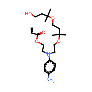 C=CC(=O)OCCN(CCOC(C)(C)CCOC(C)(C)CCO)c1ccc(N)cc1